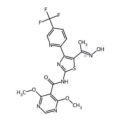 COc1ncnc(OC)c1C(=O)Nc1nc(-c2ccc(C(F)(F)F)cn2)c(/C(C)=N/O)s1